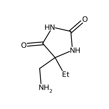 CCC1(CN)NC(=O)NC1=O